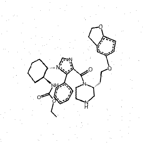 CCOC(=O)N[C@H]1CCCC[C@@H]1n1cnc(C(=O)N2CCNC[C@H]2CCOc2ccc3c(c2)CCO3)c1-c1ccccc1